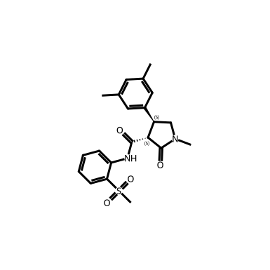 Cc1cc(C)cc([C@H]2CN(C)C(=O)[C@@H]2C(=O)Nc2ccccc2S(C)(=O)=O)c1